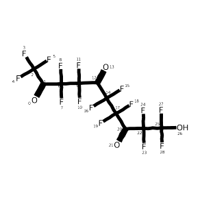 O=C(C(F)(F)F)C(F)(F)C(F)(F)C(=O)C(F)(F)C(F)(F)C(=O)C(F)(F)C(O)(F)F